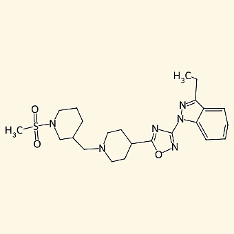 CCc1nn(-c2noc(C3CCN(CC4CCCN(S(C)(=O)=O)C4)CC3)n2)c2ccccc12